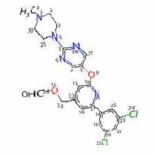 CN1CCN(c2ncc(Oc3cc(COC=O)cc(-c4cc(Cl)cc(Cl)c4)n3)cn2)CC1